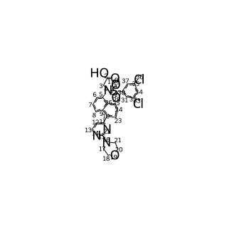 O=C(O)CN(c1cccc2c(-c3ccnc(N4CCOCC4)n3)cccc12)S(=O)(=O)c1cc(Cl)cc(Cl)c1